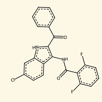 O=C(c1ccccc1)c1[nH]c2cc(Cl)ccc2c1NC(=O)c1c(F)cccc1F